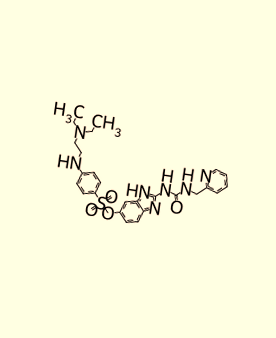 CCN(CC)CCNc1ccc(S(=O)(=O)Oc2ccc3nc(NC(=O)NCc4ccccn4)[nH]c3c2)cc1